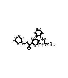 CCCCC(CC)Cn1c2ccccc2c2cc(C(=O)CCC3CCCCC3)ccc21